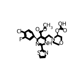 COC(=O)C1=C(CN2CCOC[C@@H]2OC(=O)O)NC(c2nccs2)=N[C@H]1c1ccc(Cl)c(F)c1